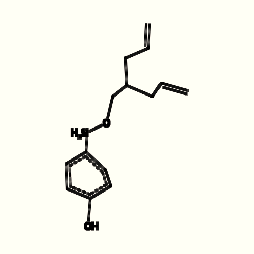 C=CCC(CC=C)CO[SiH2]c1ccc(O)cc1